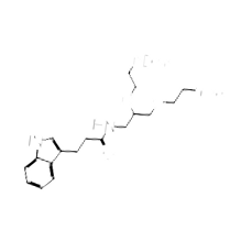 CCCCCCCCCCCCOCC(CNC(=O)CCc1c[nH]c2ccccc12)OCCCCCCCCCCCC